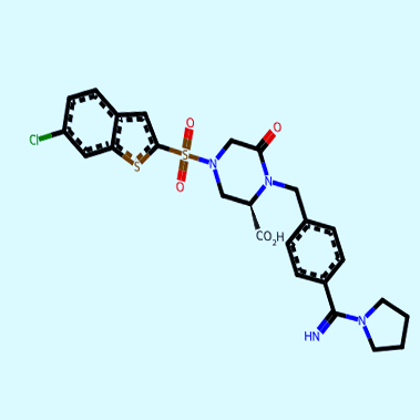 N=C(c1ccc(CN2C(=O)CN(S(=O)(=O)c3cc4ccc(Cl)cc4s3)C[C@@H]2C(=O)O)cc1)N1CCCC1